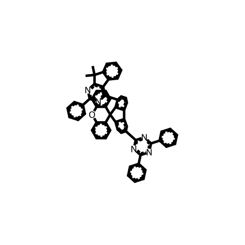 CC1(C)c2ccccc2-c2c(-c3cccc4c3C3(c5ccccc5Oc5ccccc53)c3ccc(-c5nc(-c6ccccc6)nc(-c6ccccc6)n5)cc3-4)nc(-c3ccccc3)nc21